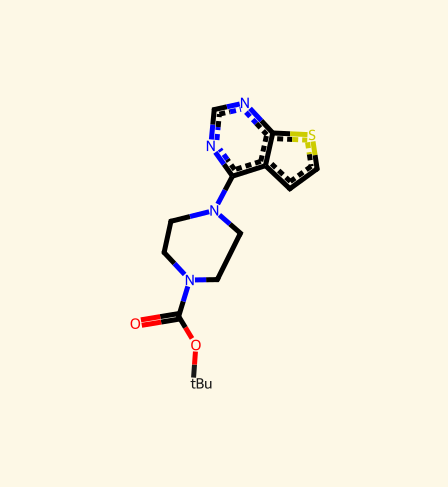 CC(C)(C)OC(=O)N1CCN(c2ncnc3sccc23)CC1